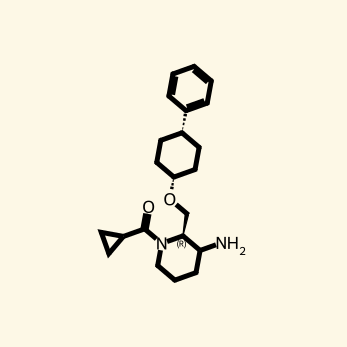 NC1CCCN(C(=O)C2CC2)[C@H]1CO[C@H]1CC[C@@H](c2ccccc2)CC1